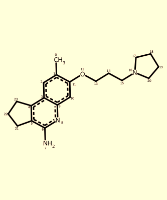 Cc1cc2c3c(c(N)nc2cc1OCCCN1CCCC1)CCC3